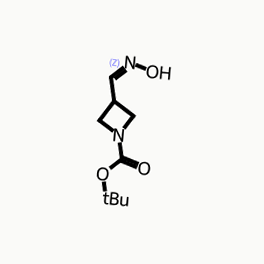 CC(C)(C)OC(=O)N1CC(/C=N\O)C1